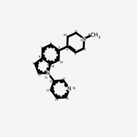 CN1CC=C(c2ccc3ccn(-c4cccnc4)c3c2)CC1